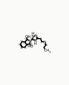 CC/C=N\CCC1=NNC(N2C(O)C3CC=CCC3C2O)N1